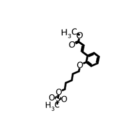 COC(=O)C=Cc1ccccc1OCCCCCOS(C)(=O)=O